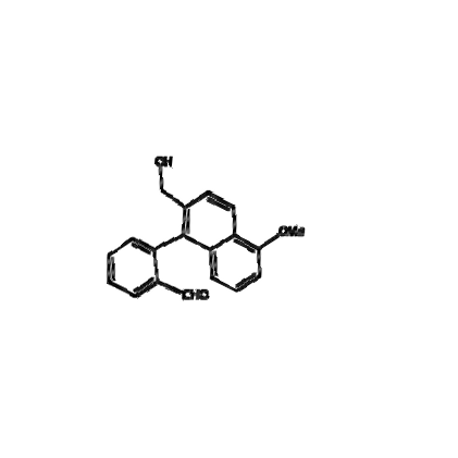 COc1cccc2c(-c3ccccc3C=O)c(CO)ccc12